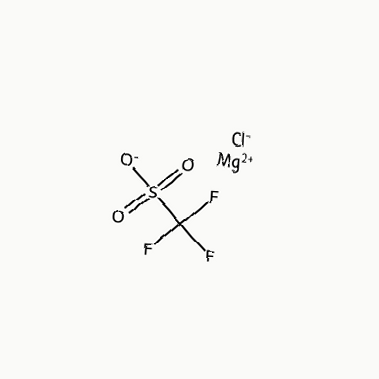 O=S(=O)([O-])C(F)(F)F.[Cl-].[Mg+2]